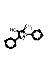 Cc1c(O)c(-c2ccccc2)nn1-c1ccccc1